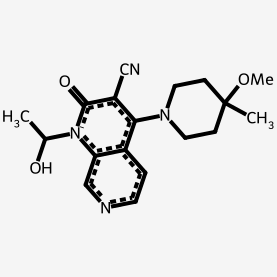 COC1(C)CCN(c2c(C#N)c(=O)n(C(C)O)c3cnccc23)CC1